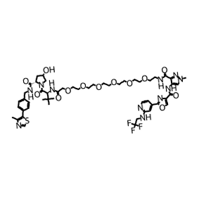 Cc1ncsc1-c1ccc(CNC(=O)[C@@H]2C[C@@H](O)CN2C(=O)[C@@H](NC(=O)COCCOCCOCCOCCOCCOCCNC(=O)c2nn(C)cc2NC(=O)c2coc(-c3ccnc(NCC(F)(F)F)c3)n2)C(C)(C)C)cc1